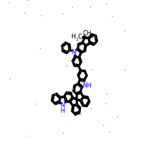 CC1(C)c2ccccc2-c2cc3c4cc(C5=Cc6c([nH]c7c8c(ccc67)C6(c7ccccc7-8)c7ccccc7-c7c6ccc6c7[nH]c7ccccc76)CC5)ccc4n(-c4ccccc4)c3cc21